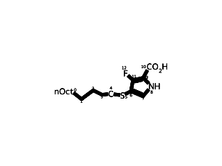 CCCCCCCCCCCCSc1c[nH]c(C(=O)O)c1F